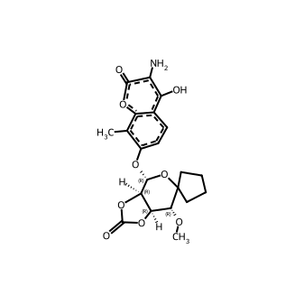 CO[C@@H]1[C@H]2OC(=O)O[C@H]2[C@H](Oc2ccc3c(O)c(N)c(=O)oc3c2C)OC12CCCC2